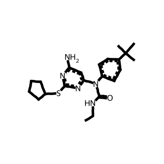 CCNC(=O)N(c1ccc(C(C)(C)C)cc1)c1cc(N)nc(SC2CCCC2)n1